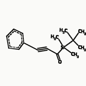 CC(C)(C)[Si](C)(C)C(=O)C#Cc1ccccc1